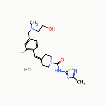 Cc1nsc(NC(=O)N2CCC(=Cc3ccc(CN(C)CCO)cc3F)CC2)n1.Cl